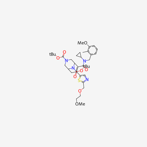 COCCOCc1ncc(C2=C(C(=O)N(Cc3cccc(OC)c3C)C3CC3)C3CN(C(=O)OC(C)(C)C)CC(C2)N3C(=O)OC(C)(C)C)s1